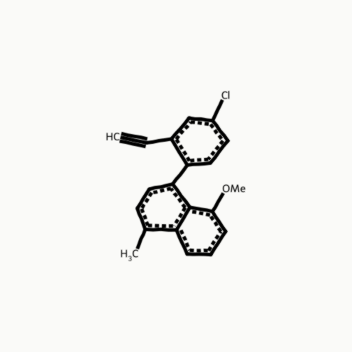 C#Cc1cc(Cl)ccc1-c1ccc(C)c2cccc(OC)c12